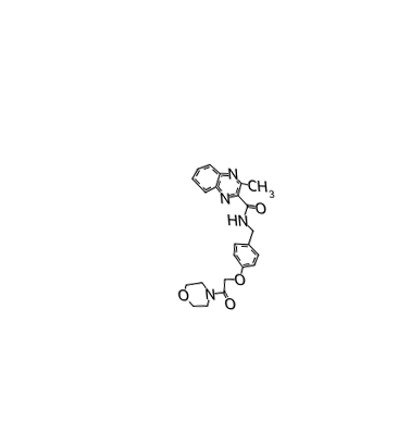 Cc1nc2ccccc2nc1C(=O)NCc1ccc(OCC(=O)N2CCOCC2)cc1